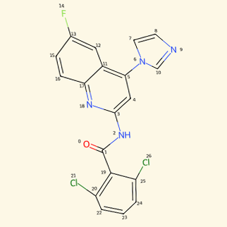 O=C(Nc1cc(-n2ccnc2)c2cc(F)ccc2n1)c1c(Cl)cccc1Cl